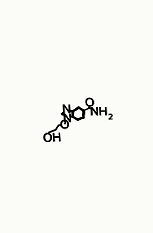 NC(=O)c1ccc2c(c1)ncn2OCCCO